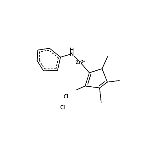 CC1=C(C)C(C)[C]([Zr+2][NH]c2ccccc2)=C1C.[Cl-].[Cl-]